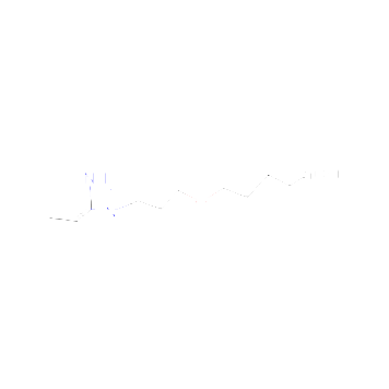 CC=C(N)NCCCOCCCCCCCCCCCC